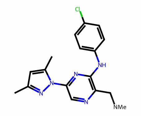 CNCc1ncc(-n2nc(C)cc2C)nc1Nc1ccc(Cl)cc1